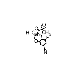 C[C@H]1COc2cc(C#N)cc(F)c2CN1C(=O)C1(C)COC1